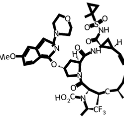 COc1ccc2c(O[C@@H]3C[C@H]4C(=O)N[C@]5(C(=O)NS(=O)(=O)C6(C)CC6)C[C@H]5/C=C\CC[C@@H](C)C[C@@H](C)[C@H](N(C(=O)O)[C@H](C)C(F)(F)F)C(=O)N4C3)nc(N3CCOCC3)cc2c1